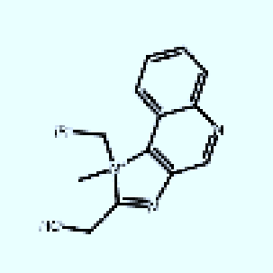 CC(C)C[N+]1(C)C(CO)=Nc2cnc3ccccc3c21